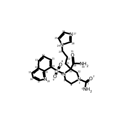 NC(=O)N1CCN(S(=O)(=O)c2cccc3cccnc23)C(CCCn2ccnc2)(C(N)=O)C1